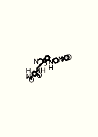 CNC(=O)c1ccc(NCC#Cc2sc3c(NC4CCC(N5CC6(CCOCC6)C5)CC4)cccc3c2CC#N)c(OC)c1